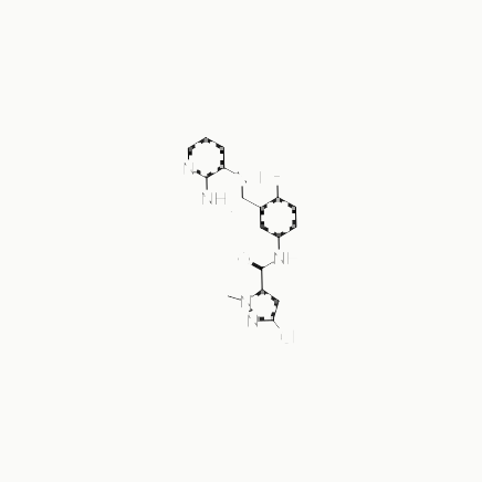 Cn1nc(Cl)cc1C(=O)Nc1ccc(F)c(CNc2cccnc2N)c1